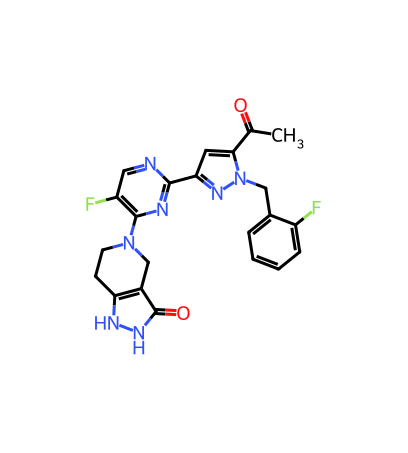 CC(=O)c1cc(-c2ncc(F)c(N3CCc4[nH][nH]c(=O)c4C3)n2)nn1Cc1ccccc1F